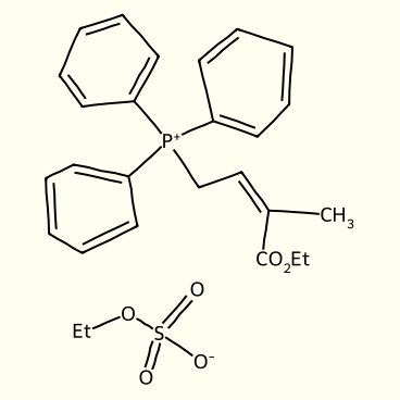 CCOC(=O)/C(C)=C\C[P+](c1ccccc1)(c1ccccc1)c1ccccc1.CCOS(=O)(=O)[O-]